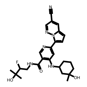 CC1(O)CCCC(Nc2cc(-c3ccc4cc(C#N)cnn34)ncc2C(=O)NCC(F)C(C)(C)O)C1